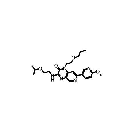 CCCOCCn1c(=O)c(NCCOC(C)C)nc2cnc(-c3ccc(OC)nc3)cc21